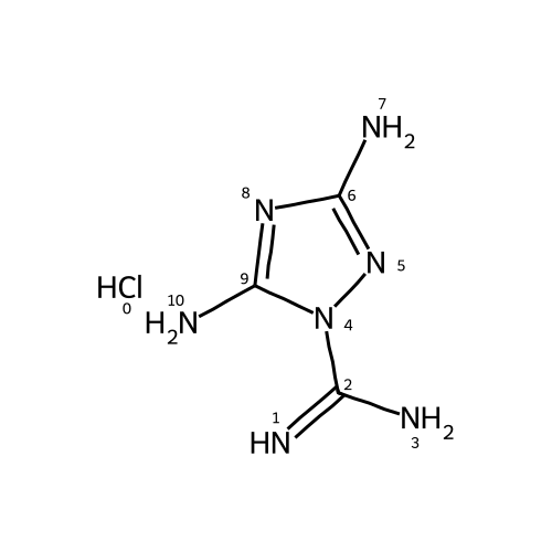 Cl.N=C(N)n1nc(N)nc1N